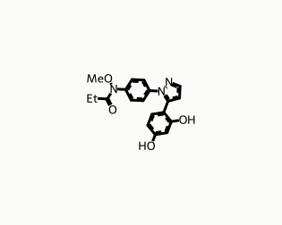 CCC(=O)N(OC)c1ccc(-n2nccc2-c2ccc(O)cc2O)cc1